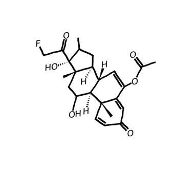 CC(=O)OC1=C[C@@H]2[C@H](C(O)C[C@@]3(C)[C@H]2CC(C)[C@]3(O)C(=O)CF)[C@@]2(C)C=CC(=O)C=C12